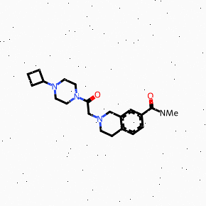 CNC(=O)c1ccc2c(c1)CN(CC(=O)N1CCN(C3CCC3)CC1)CC2